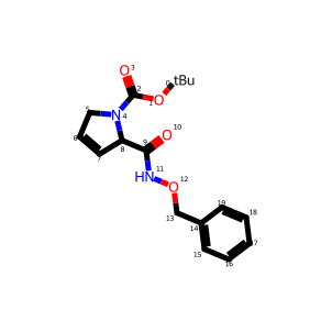 CC(C)(C)OC(=O)N1CC=CC1C(=O)NOCc1ccccc1